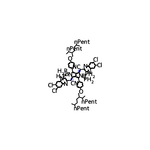 CCCCCC(C)CCC(COc1ccc(-c2c3/c(=C(\C#N)c4cnc5cc(Cl)c(Cl)cc5n4)n(B(P)P)c(-c4ccc(OCC(CCC(C)CCCCC)C(C)CCCCC)cc4)c3/c(=C(\C#N)c3cnc4cc(Cl)c(Cl)cc4n3)n2B(P)P)cc1)C(C)CCCCC